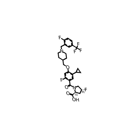 O=C(O)[C@@H]1C[C@@H](F)CN1C(=O)c1cc(C2CC2)c(OCC2CCN(Cc3cc(C(F)(F)F)ccc3F)CC2)cc1F